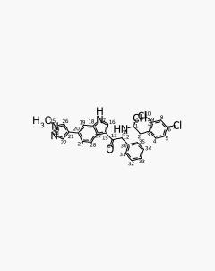 C[C@@H](Cc1ccc(Cl)cc1Cl)N[C@@H](C(=O)c1c[nH]c2cc(-c3cnn(C)c3)ccc12)c1ccccc1